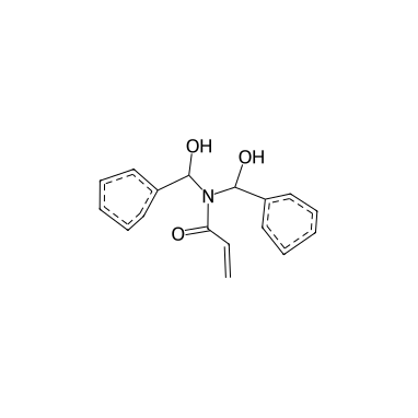 C=CC(=O)N(C(O)c1ccccc1)C(O)c1ccccc1